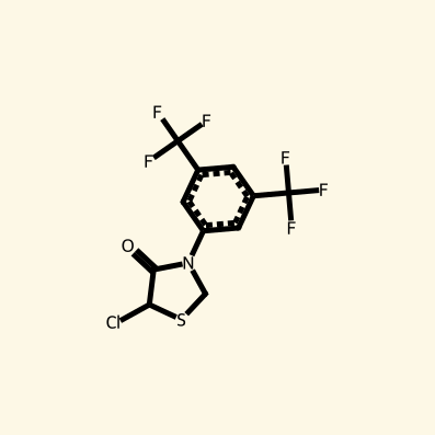 O=C1C(Cl)SCN1c1cc(C(F)(F)F)cc(C(F)(F)F)c1